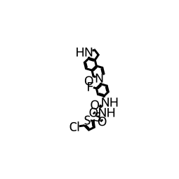 O=C(Nc1ccc(-n2ccc3c4c(ccc3c2=O)NCC4)c(F)c1)NS(=O)(=O)c1ccc(Cl)s1